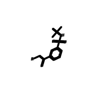 CC(C)(C)NS(=O)(=O)c1cccc(C(=O)CBr)c1